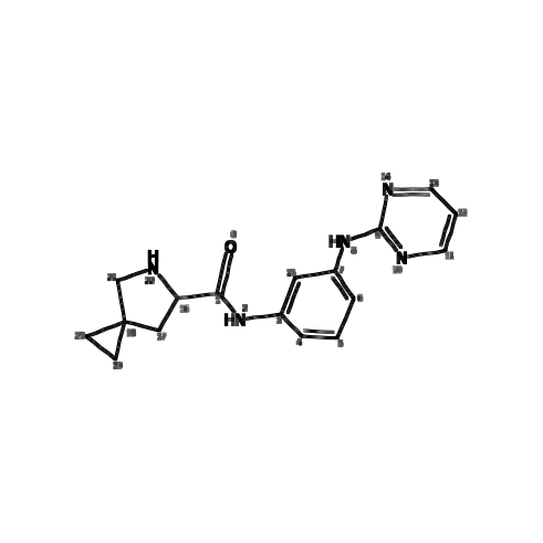 O=C(Nc1cccc(Nc2ncccn2)c1)C1CC2(CC2)CN1